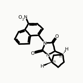 O=C1C2[C@H]3CC[C@@H](C3)N2C(=O)N1c1ccc([N+](=O)[O-])c2ccccc12